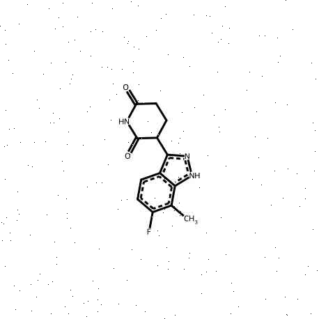 Cc1c(F)ccc2c(C3CCC(=O)NC3=O)n[nH]c12